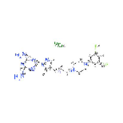 Cc1c(/C=C/CN2CCN(c3cc(F)cc(F)c3)CC2)cnn1-c1nc(N)nc(N)n1.Cl